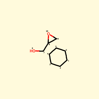 C1CCCCC1.OCC1CO1